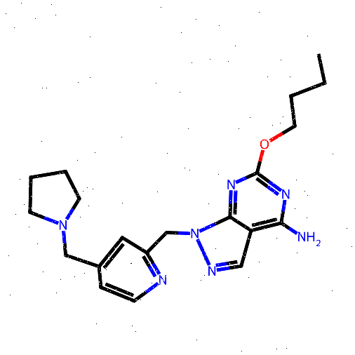 CCCCOc1nc(N)c2cnn(Cc3cc(CN4CCCC4)ccn3)c2n1